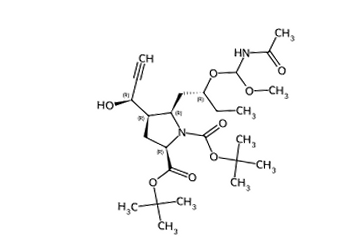 C#C[C@H](O)[C@@H]1C[C@H](C(=O)OC(C)(C)C)N(C(=O)OC(C)(C)C)[C@@H]1C[C@@H](CC)OC(NC(C)=O)OC